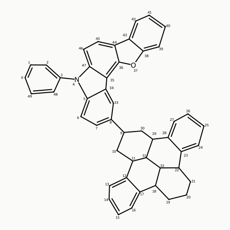 c1ccc(-n2c3ccc(C4CC5c6ccccc6C6CCCC7c8ccccc8C(C4)C5C67)cc3c3c4oc5ccccc5c4ccc32)cc1